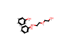 OCCOCCO.Oc1ccccc1.Oc1ccccc1